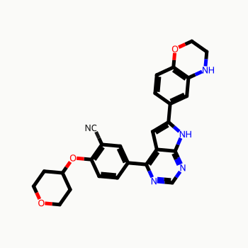 N#Cc1cc(-c2ncnc3[nH]c(-c4ccc5c(c4)NCCO5)cc23)ccc1OC1CCOCC1